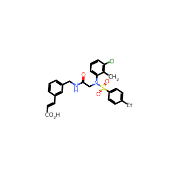 CCc1ccc(S(=O)(=O)N(CC(=O)NCc2cccc(/C=C/C(=O)O)c2)c2cccc(Cl)c2C)cc1